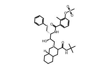 Cc1c(OS(C)(=O)=O)cccc1C(=O)N[C@@H](CSc1ccccc1)[C@H](O)CN1C[C@H]2CCCCC2CC1C(=O)NC(C)(C)C